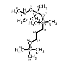 C[SiH](C)O[Si](C)(C)O[Si](C)(C)CCCO[Si](C)(C)C